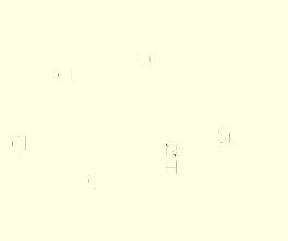 C[Si](C)(C)NC(=O)C(Cl)(Cl)Cl